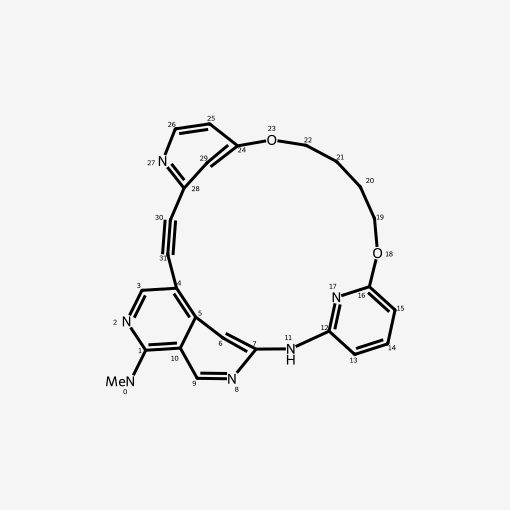 CNc1ncc2c3cc(ncc13)Nc1cccc(n1)OCCCCOc1ccnc(c1)C#C2